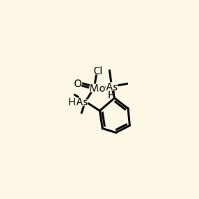 C[AsH]1(C)c2ccccc2[AsH](C)(C)[Mo]1(=[O])[Cl]